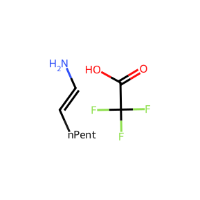 CCCCCC=CN.O=C(O)C(F)(F)F